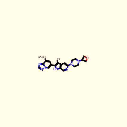 COc1cc(-c2[nH]c3cnc(N4CCN(C5COC5)CC4)cc3c2C(C)C)cn2ncnc12